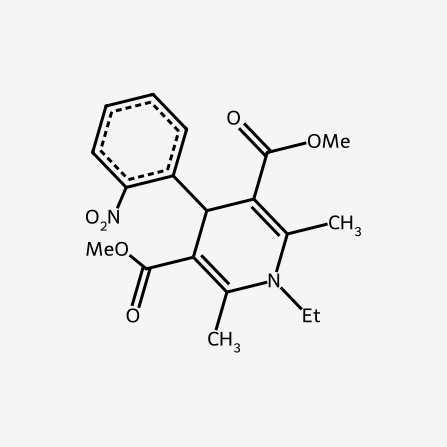 CCN1C(C)=C(C(=O)OC)C(c2ccccc2[N+](=O)[O-])C(C(=O)OC)=C1C